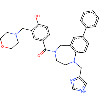 O=C(c1ccc(O)c(CN2CCOCC2)c1)N1CCN(Cc2c[nH]cn2)c2ccc(-c3ccccc3)cc2C1